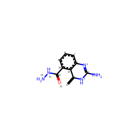 C=C1NC(N)=Nc2cccc(C(=O)NN)c21